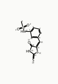 CS(=O)(=O)Nc1cccc(C=C2SC(=S)NC2=O)c1